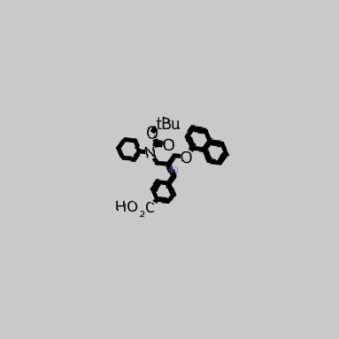 CC(C)(C)OC(=O)N(C/C(=C\c1ccc(C(=O)O)cc1)COc1cccc2ccccc12)C1CCCCC1